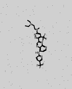 CCN(CC)CCN(C)c1cc(C(F)(F)F)c(-c2cnc3c(Nc4ccc(C(F)(F)F)cn4)ccnc3n2)nn1